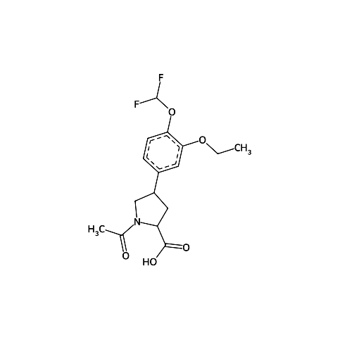 CCOc1cc(C2CC(C(=O)O)N(C(C)=O)C2)ccc1OC(F)F